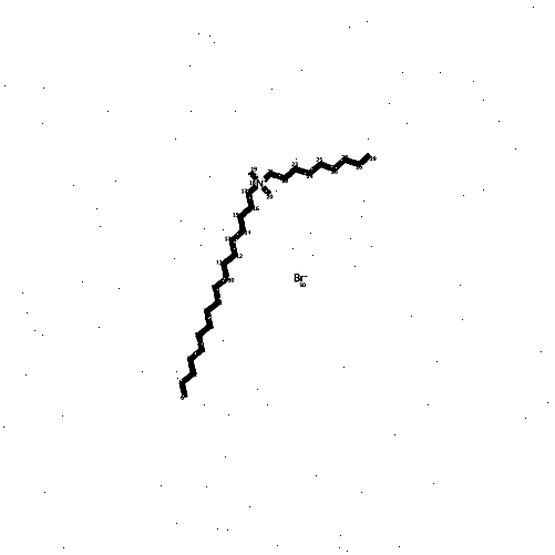 CCCCCCCCCCCCCCCCCC[N+](C)(C)CCCCCCCCC.[Br-]